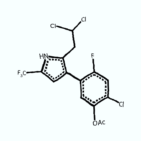 CC(=O)Oc1cc(-c2cc(C(F)(F)F)[nH]c2CC(Cl)Cl)c(F)cc1Cl